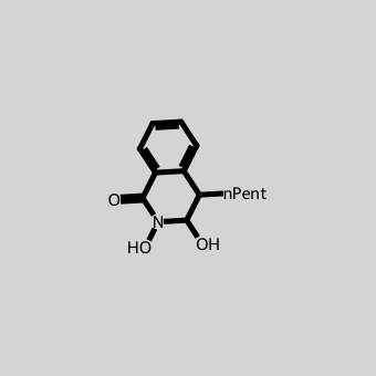 CCCCCC1c2ccccc2C(=O)N(O)C1O